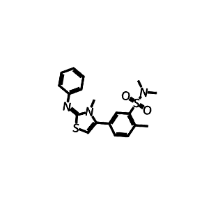 Cc1ccc(-c2csc(=Nc3ccccc3)n2C)cc1S(=O)(=O)N(C)C